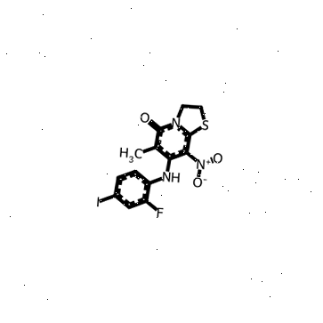 Cc1c(Nc2ccc(I)cc2F)c([N+](=O)[O-])c2n(c1=O)CCS2